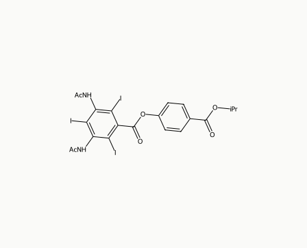 CC(=O)Nc1c(I)c(NC(C)=O)c(I)c(C(=O)Oc2ccc(C(=O)OC(C)C)cc2)c1I